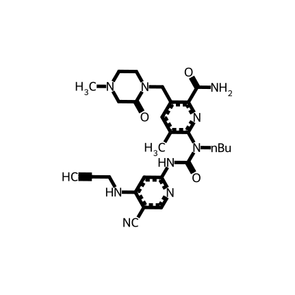 C#CCNc1cc(NC(=O)N(CCCC)c2nc(C(N)=O)c(CN3CCN(C)CC3=O)cc2C)ncc1C#N